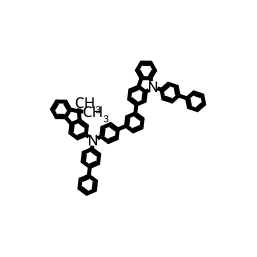 CC1(C)c2ccccc2-c2ccc(N(c3ccc(-c4ccccc4)cc3)c3ccc(-c4cccc(-c5ccc6c7ccccc7n(-c7ccc(-c8ccccc8)cc7)c6c5)c4)cc3)cc21